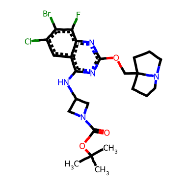 CC(C)(C)OC(=O)N1CC(Nc2nc(OCC34CCCN3CCC4)nc3c(F)c(Br)c(Cl)cc23)C1